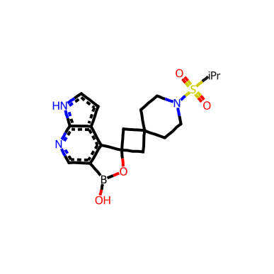 CC(C)S(=O)(=O)N1CCC2(CC1)CC1(C2)OB(O)c2cnc3[nH]ccc3c21